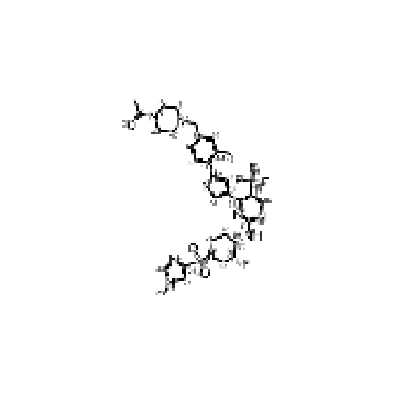 CC(=O)N1CCN(Cc2ccc(-n3cc(-c4nc(N[C@H]5CCN(S(=O)(=O)c6cn(C)cn6)C[C@H]5F)ncc4C(F)(F)F)cn3)c(C)c2)CC1